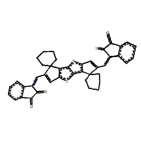 O=C1C(=O)c2ccccc2/C1=C/C1=Cc2sc3c4c(sc3c2C12CCCCC2)C=C(/C=C1\C(=O)C(=O)c2ccccc21)C41CCCCC1